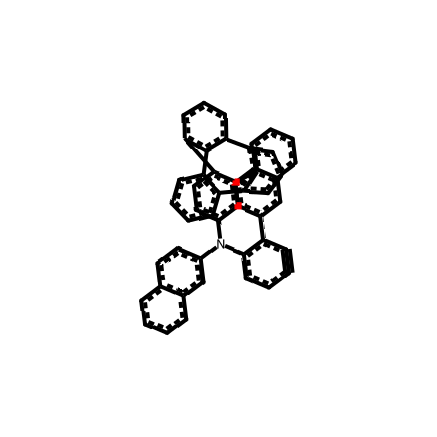 c1ccc(N(c2ccc3c(c2)-c2c4cccc2-c2cccc-3c2-c2ccccc2-4)c2ccc3ccccc3c2)c(-c2ccc3ccccc3c2)c#1